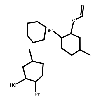 C1CCCCC1.C=COC1CC(C)CCC1C(C)C.CC1CCC(C(C)C)C(O)C1